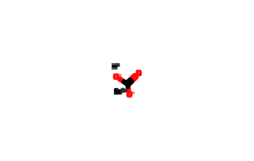 O=C([O-])[O-].[H+].[Sc+3]